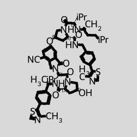 C=C(CCC(C)C)N[C@H](C(=O)N1C[C@H](Oc2cc(C#N)c3c(c2)C(=O)N([C@H](C(=O)N2C[C@H](O)C[C@H]2C(=O)N[C@@H](C)c2ccc(-c4scnc4C)cc2)C(C)C)C3)C[C@H]1C(=O)NCc1ccc(-c2scnc2C)cc1)C(C)C